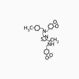 C=C(NCc1ccc2c(c1)OCO2)c1csc(CN(Cc2ccc(C)cc2)Cc2ccc3c(c2)OCO3)n1